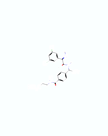 CCCC(c1ccc(C(=O)NCCC(=O)O)cc1)N(C)C(=O)C(=NC)c1cc(Cl)cc(Cl)c1